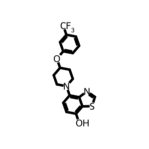 Oc1ccc(N2CCC(Oc3cccc(C(F)(F)F)c3)CC2)c2ncsc12